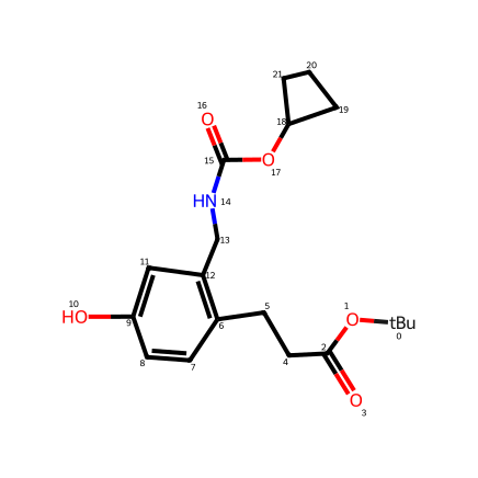 CC(C)(C)OC(=O)CCc1ccc(O)cc1CNC(=O)OC1CCC1